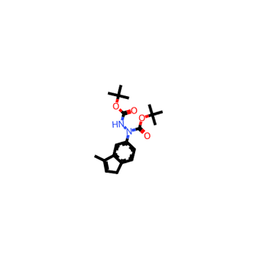 CC1=CCc2ccc(N(NC(=O)OC(C)(C)C)C(=O)OC(C)(C)C)cc21